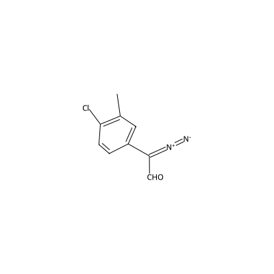 Cc1cc(C(C=O)=[N+]=[N-])ccc1Cl